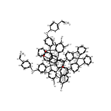 C=CC1=CCC(Oc2ccc(C3(c4c(F)cc(F)c(F)c4F)c4ccccc4-c4ccc(N(c5ccc(F)cc5)c5ccc6c(c5)C5(c7ccccc7-c7ccc(N(c8ccc(F)cc8)c8ccc9c(c8)C(c8ccc(Oc%10ccc(C=C)cc%10)cc8)(c8c(F)cc(F)c(F)c8F)c8ccccc8-9)cc75)c5ccccc5-6)cc43)cc2)C=C1